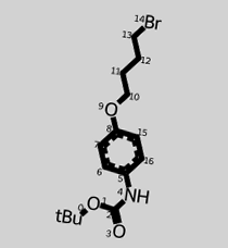 CC(C)(C)OC(=O)Nc1ccc(OCCCCBr)cc1